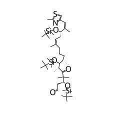 CC(=CC[C@H](O[Si](C)(C)C(C)(C)C)C(C)=Cc1csc(C)n1)CCC[C@H](C)[C@H](O[Si](C)(C)C(C)(C)C)[C@@H](C)C(=O)C(C)(C)[C@H](CC=O)O[Si](C)(C)C(C)(C)C